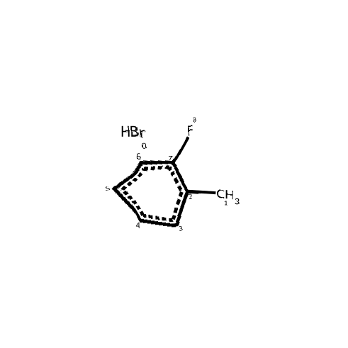 Br.Cc1ccccc1F